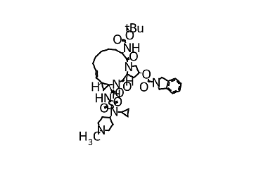 CN1CCC(N(C2CC2)S(=O)(=O)NC(=O)[C@@]23C[C@H]2/C=C/CCCCC[C@H](NC(=O)OC(C)(C)C)C(=O)N2C[C@H](OC(=O)N4Cc5ccccc5C4)C[C@H]2C(=O)N3)CC1